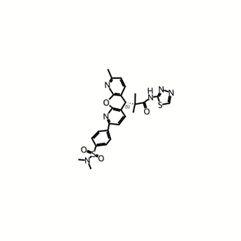 Cc1ccc2c(n1)Oc1nc(-c3ccc(S(=O)(=O)N(C)C)cc3)ccc1[C@H]2C(C)(C)C(=O)Nc1nncs1